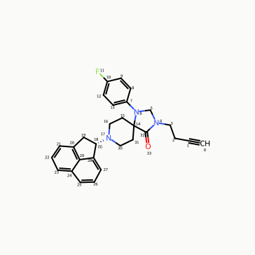 C#CCCN1CN(c2ccc(F)cc2)C2(CCN([C@H]3Cc4cccc5cccc3c45)CC2)C1=O